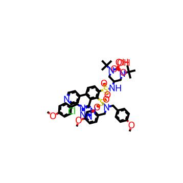 COc1ccc(CN(Cc2ccc(OC)cc2)S(=O)(=O)c2c(S(=O)(=O)NC(CN(C(=O)O)C(C)(C)C)CN(C(=O)O)C(C)(C)C)ccc(-c3ccnc(Cl)c3)c2-c2nnnn2Cc2ccc(OC)cc2)cc1